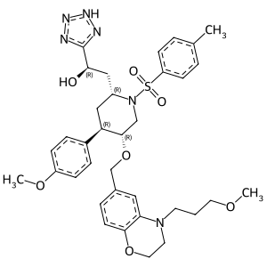 COCCCN1CCOc2ccc(CO[C@H]3CN(S(=O)(=O)c4ccc(C)cc4)[C@@H](C[C@@H](O)c4nn[nH]n4)C[C@@H]3c3ccc(OC)cc3)cc21